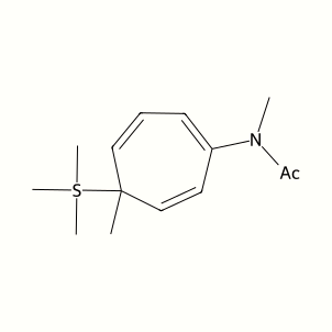 CC(=O)N(C)C1=CC=CC(C)(S(C)(C)C)C=C1